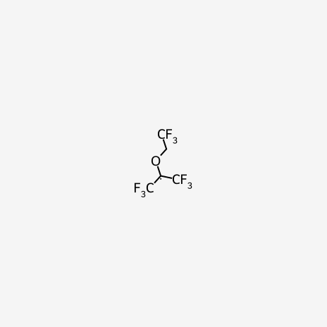 FC(F)(F)CO[C](C(F)(F)F)C(F)(F)F